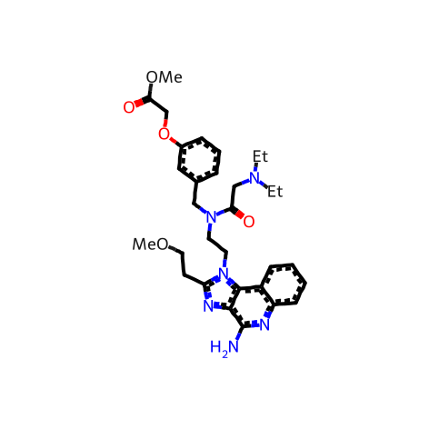 CCN(CC)CC(=O)N(CCn1c(CCOC)nc2c(N)nc3ccccc3c21)Cc1cccc(OCC(=O)OC)c1